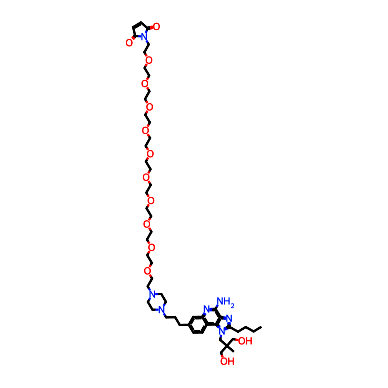 CCCCc1nc2c(N)nc3cc(CCCN4CCN(CCOCCOCCOCCOCCOCCOCCOCCOCCOCCOCCN5C(=O)C=CC5=O)CC4)ccc3c2n1CC(C)(CO)CO